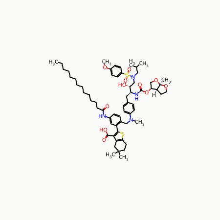 CCCCCCCCCCCCCC(=O)Nc1ccc(CN(C)c2ccc(C[C@H](NC(=O)O[C@H]3CO[C@@]4(C)OCC[C@@H]34)[C@H](O)CN(CC(C)C)S(=O)(=O)c3ccc(OC)cc3)cc2)c(-c2sc3c(c2C(=O)O)CC(C)(C)CC3)c1